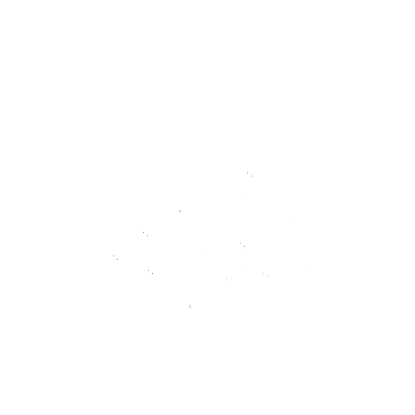 CC1CCN(C(=O)c2csc3c(O)nc(Nc4sc5c(O)nc(N)nc5c4Br)nc23)CC1